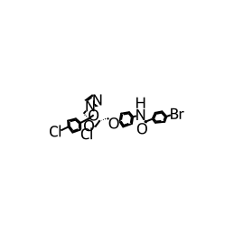 O=C(Nc1ccc(OC[C@@H]2CO[C@@](Cn3ccnc3)(c3ccc(Cl)cc3Cl)O2)cc1)c1ccc(Br)cc1